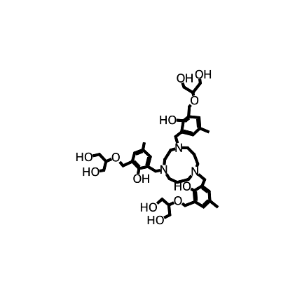 Cc1cc(COC(CO)CO)c(O)c(CN2CCCN(Cc3cc(C)cc(COC(CO)CO)c3O)CCN(Cc3cc(C)cc(COC(CO)CO)c3O)CCC2)c1